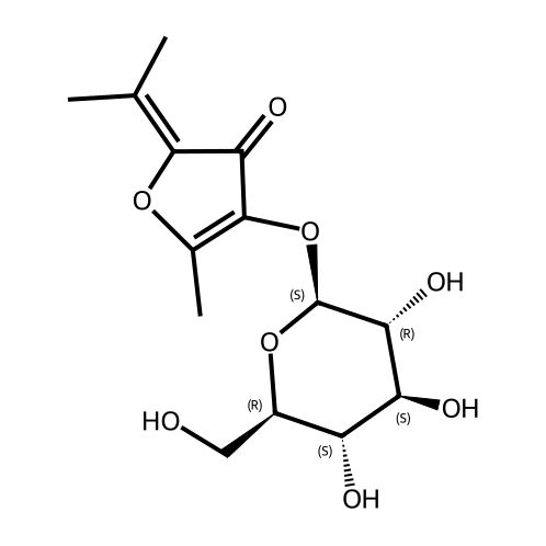 CC(C)=C1OC(C)=C(O[C@@H]2O[C@H](CO)[C@@H](O)[C@H](O)[C@H]2O)C1=O